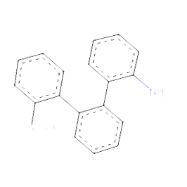 CCCCCc1ccccc1-c1ccccc1-c1ccccc1N